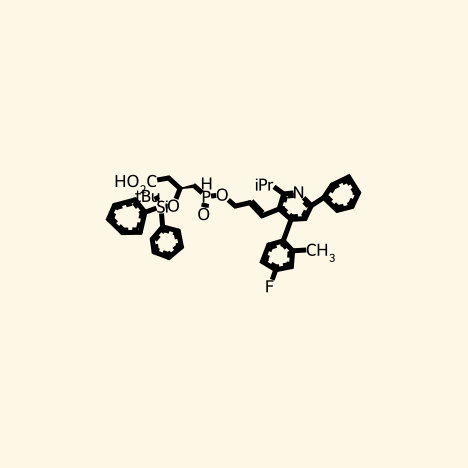 Cc1cc(F)ccc1-c1cc(-c2ccccc2)nc(C(C)C)c1/C=C/CO[PH](=O)C[C@H](CC(=O)O)O[Si](c1ccccc1)(c1ccccc1)C(C)(C)C